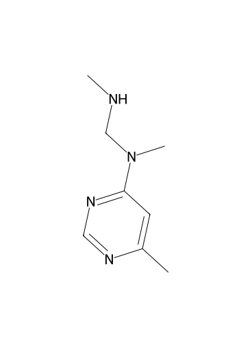 CNCN(C)c1cc(C)ncn1